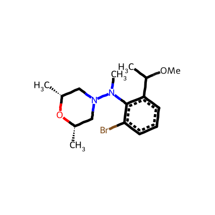 COC(C)c1cccc(Br)c1N(C)N1C[C@@H](C)O[C@@H](C)C1